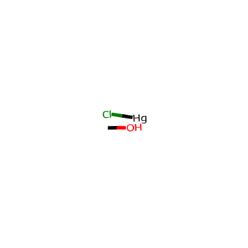 CO.[Cl][Hg]